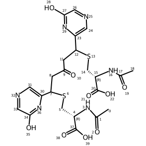 CC(=O)N[C@@H](CSC(CC(=O)CC(SC[C@H](NC(C)=O)C(=O)O)c1cncc(O)n1)c1cncc(O)n1)C(=O)O